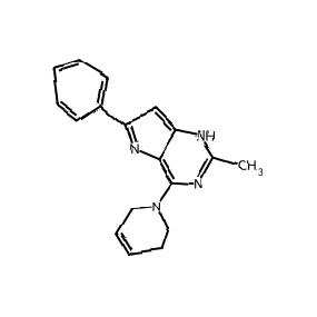 Cc1nc(N2CC=CCC2)c2nc(-c3ccccc3)cc-2[nH]1